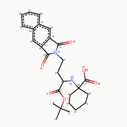 CC(C)(C)OC(=O)C(CCN1C(=O)c2cc3ccccc3cc2C1=O)NC1(C(=O)O)CCCCC1